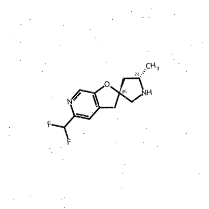 C[C@H]1C[C@@]2(CN1)Cc1cc(C(F)F)ncc1O2